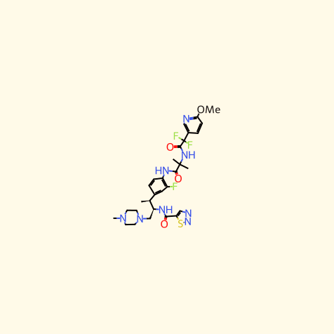 COc1ccc(C(F)(F)C(=O)NC(C)(C)C(=O)Nc2ccc([C@H](C)[C@H](CN3CCN(C)CC3)NC(=O)c3cnns3)cc2F)cn1